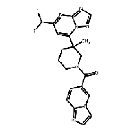 CC1(c2cc(C(F)F)nc3ncnn23)CCCN(C(=O)c2ccc3nccn3c2)C1